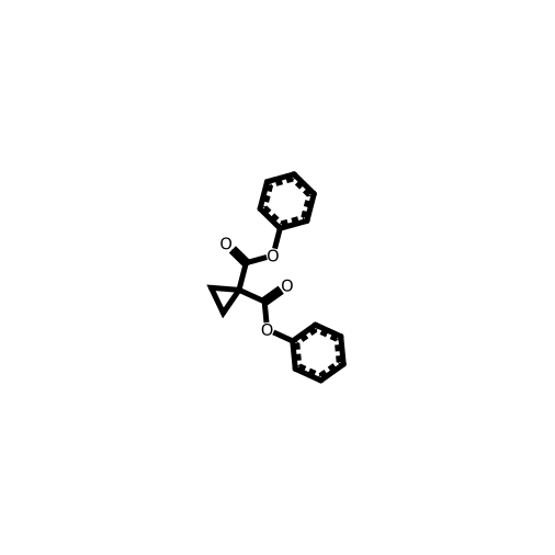 O=C(Oc1ccccc1)C1(C(=O)Oc2ccccc2)CC1